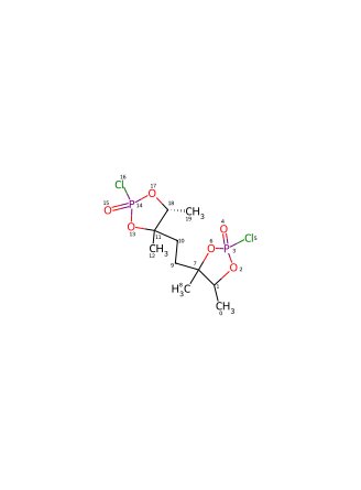 CC1OP(=O)(Cl)OC1(C)CCC1(C)OP(=O)(Cl)O[C@@H]1C